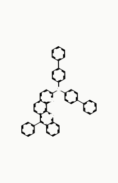 c1ccc(-c2ccc(N(c3ccc(-c4ccccc4)cc3)c3ccc4ccc5c(-c6ccccc6)c6ccccc6nc5c4n3)cc2)cc1